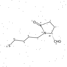 O=C[C@H]1CCC(=O)N1CCCC[S]